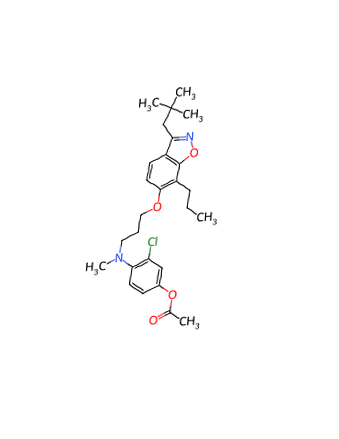 CCCc1c(OCCCN(C)c2ccc(OC(C)=O)cc2Cl)ccc2c(CC(C)(C)C)noc12